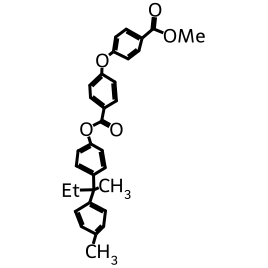 CCC(C)(c1ccc(C)cc1)c1ccc(OC(=O)c2ccc(Oc3ccc(C(=O)OC)cc3)cc2)cc1